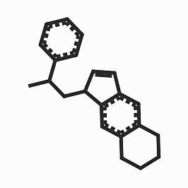 CC(C[C]1C=Cc2cc3c(cc21)CCCC3)c1ccccc1